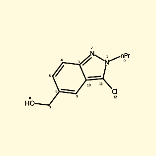 CCCn1nc2ccc(CO)cc2c1Cl